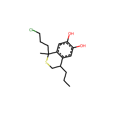 CCCC1CSC(C)(CCCCl)c2cc(O)c(O)cc21